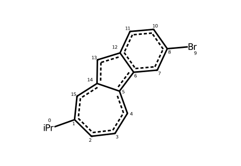 CC(C)c1cccc2c3cc(Br)ccc3cc-2c1